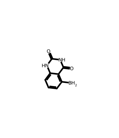 Bc1cccc2[nH]c(=O)[nH]c(=O)c12